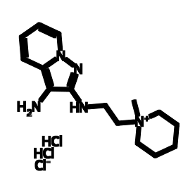 C[N+]1(CCNc2nn3ccccc3c2N)CCCCC1.Cl.Cl.[Cl-]